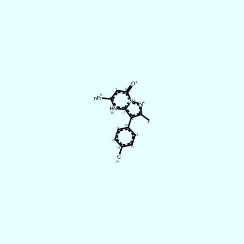 CCCc1cc(=O)n2nc(C)c(-c3ccc(Cl)cc3)c2[nH]1